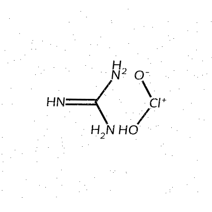 N=C(N)N.[O-][Cl+]O